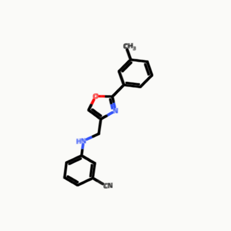 Cc1cccc(-c2nc(CNc3cccc(C#N)c3)co2)c1